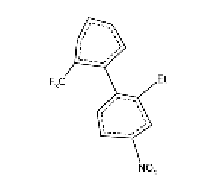 CCc1cc([N+](=O)[O-])ccc1-c1ccccc1C(F)(F)F